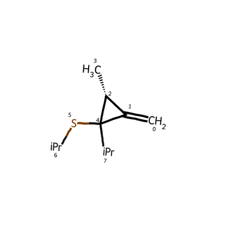 C=C1[C@@H](C)C1(SC(C)C)C(C)C